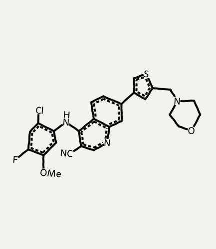 COc1cc(Nc2c(C#N)cnc3cc(-c4csc(CN5CCOCC5)c4)ccc23)c(Cl)cc1F